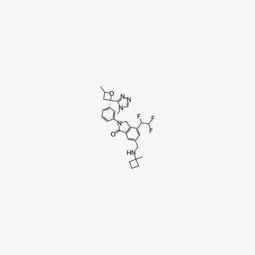 CC1C[C@](c2cccc(N3Cc4c(cc(CNC5(C)CCC5)cc4C(F)C(F)F)C3=O)c2)(c2nncn2C)O1